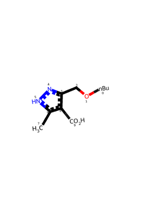 CCCCOCc1n[nH]c(C)c1C(=O)O